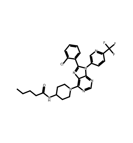 CCCCC(=O)NC1CCN(c2ncnc3c2nc(-c2ccccc2Cl)n3-c2ccc(C(F)(F)F)nc2)CC1